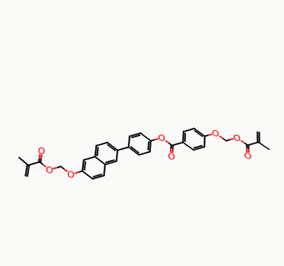 C=C(C)C(=O)OCOc1ccc(C(=O)Oc2ccc(-c3ccc4cc(OCOC(=O)C(=C)C)ccc4c3)cc2)cc1